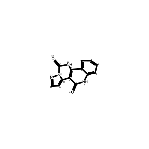 O=c1[nH]c2ccccc2c2[nH]c(=O)n3nccc3c12